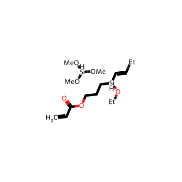 C=CC(=O)OCCC[SiH](C=CCC)OCC.CO[SiH](OC)OC